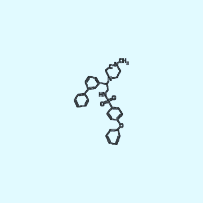 CN1CCN(C(CNS(=O)(=O)c2ccc(Oc3ccccc3)cc2)c2cccc(-c3ccccc3)c2)CC1